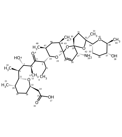 CCC(C(=O)[C@@H](C)[C@@H](O)[C@H](C)[C@@H]1O[C@@H](CC(=O)O)CC[C@@H]1C)[C@H]1O[C@]2(C=C[C@@H](N)[C@]3(CC[C@@](C)([C@H]4CC[C@@H](O)[C@H](C)O4)O3)O2)[C@H](C)C[C@@H]1C